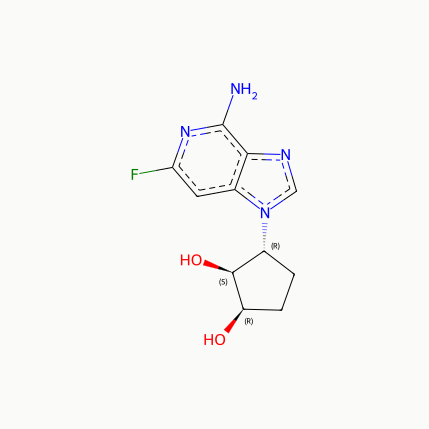 Nc1nc(F)cc2c1ncn2[C@@H]1CC[C@@H](O)[C@H]1O